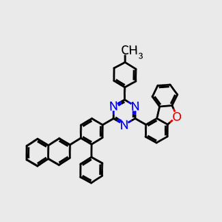 CC1C=CC(c2nc(-c3ccc(-c4ccc5ccccc5c4)c(-c4ccccc4)c3)nc(-c3cccc4oc5ccccc5c34)n2)=CC1